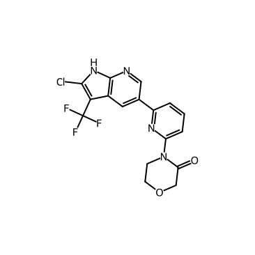 O=C1COCCN1c1cccc(-c2cnc3[nH]c(Cl)c(C(F)(F)F)c3c2)n1